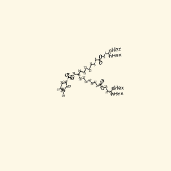 CCCCCCC(CCCCCC)CCOC(=O)CCCCCCCC(CCCCCCCC(=O)OCCC(CCCCCC)CCCCCC)COC(=O)[C@H]1CCN(C)C1